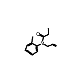 C=CCN(C(=O)CC)c1ccccc1C